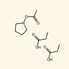 CC(=O)ON1CCCC1.CCC(=O)O.CCC(=O)O